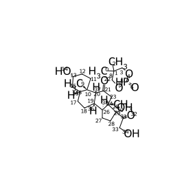 CC1(C)CO[PH](=O)OC1.C[C@]12CC[C@@H](O)C[C@H]1CC[C@@H]1[C@@H]2C(=O)C[C@@]2(C)[C@H]1CC[C@]2(O)C(=O)CO